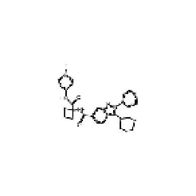 O=C(NC1(C(=O)Nc2ccc(F)cc2)CCC1)c1ccc2c(C3CCCCC3)n(-c3ccccc3)nc2c1